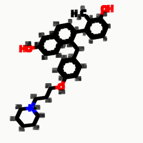 Cc1c(O)cccc1-c1ccc2cc(O)ccc2c1Cc1ccc(OCCCN2CCCCC2)cc1